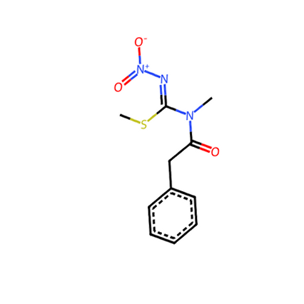 CSC(=N[N+](=O)[O-])N(C)C(=O)Cc1ccccc1